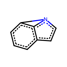 c1cc2c3c(c1)ccn3-2